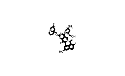 CCc1c(F)ccc2cc(O)cc(-c3ncc4c(N5C[C@@H](N)C[C@H]5CO)nc(OCC56CCCN5C[C@H](F)C6)nc4c3F)c12